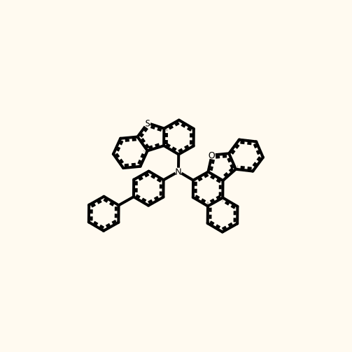 c1ccc(-c2ccc(N(c3cc4ccccc4c4c3oc3ccccc34)c3cccc4sc5ccccc5c34)cc2)cc1